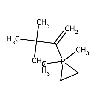 C=C(C(C)(C)C)P1(C)(C)CC1